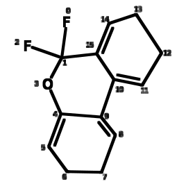 FC1(F)OC2=CCCC=C2C2=CCCC=C21